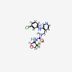 CN(Cc1ccncc1Nc1cccc(Cl)c1)C(=O)N[C@@H]1COCC1(F)F